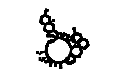 CO[C@]1(CN2CCN3CCN(C(C)=O)C[C@H]3C2)/C=C/C[C@H](C)[C@@H](C)S(=O)(=O)NC(=O)c2ccc3c(c2)N(C[C@@H]2CC[C@H]21)C[C@@]1(CCCc2cc(Cl)ccc21)CO3